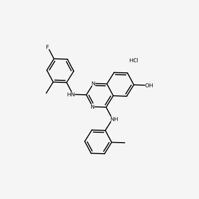 Cc1cc(F)ccc1Nc1nc(Nc2ccccc2C)c2cc(O)ccc2n1.Cl